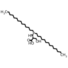 CCCCCCCCCCCCCCP(CCCCCCCCCCCCCC)NC(CO)C(=O)O